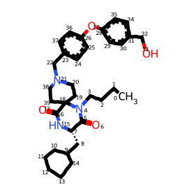 CCCCN1C(=O)[C@H](CC2CCCCC2)NC(=O)C12CCN(Cc1ccc(Oc3ccc(CO)cc3)cc1)CC2